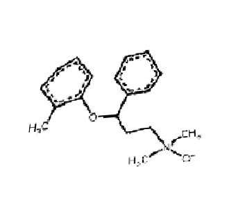 Cc1ccccc1OC(CC[N+](C)(C)[O-])c1ccccc1